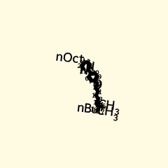 CCCCCCCCc1cnc(-c2ccc(OCCCCC[Si](C)(C)CCCC)cc2)nc1